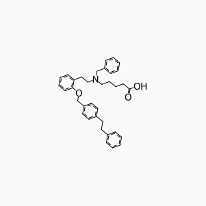 O=C(O)CCCCN(CCc1ccccc1OCc1ccc(CCc2ccccc2)cc1)Cc1ccccc1